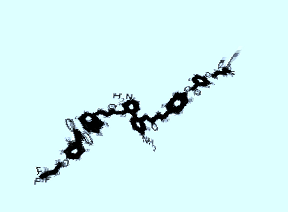 Nc1ccc(-c2ccc(N)cc2CC(=O)/C=C/c2ccc(OC(=O)c3ccc(OCCCC(F)(F)F)cc3)cc2)c(CC(=O)/C=C/c2ccc(OC(=O)c3ccc(OCCCC(F)(F)F)cc3)cc2)c1